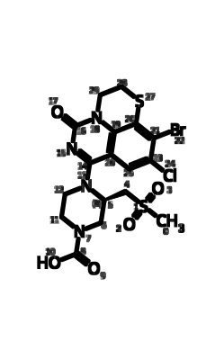 CS(=O)(=O)C[C@H]1CN(C(=O)O)CCN1c1nc(=O)n2c3c(c(Br)c(Cl)cc13)SCC2